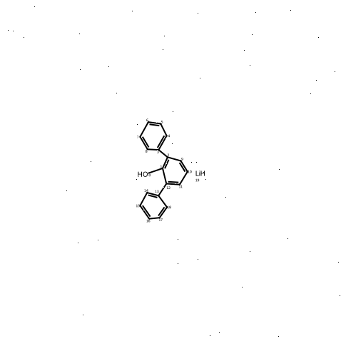 Oc1c(-c2ccccc2)cccc1-c1ccccc1.[LiH]